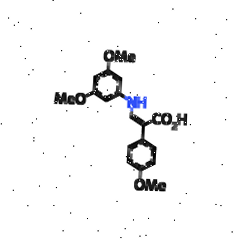 COc1ccc(C(=CNc2cc(OC)cc(OC)c2)C(=O)O)cc1